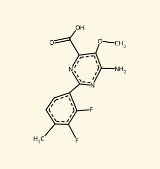 COc1c(N)nc(-c2ccc(C)c(F)c2F)nc1C(=O)O